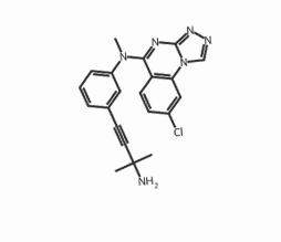 CN(c1cccc(C#CC(C)(C)N)c1)c1nc2nncn2c2cc(Cl)ccc12